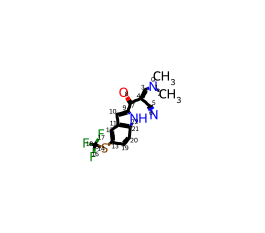 CN(C)C=C(C#N)C(=O)c1cc2cc(SC(F)(F)F)ccc2[nH]1